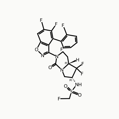 O=C1N(c2noc3cc(F)c(F)c(-c4c(F)cccc4F)c23)CC[C@H]2N1C[C@@H](NS(=O)(=O)CF)C2(F)F